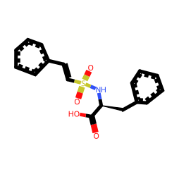 O=C(O)[C@H](Cc1ccccc1)NS(=O)(=O)C=Cc1ccccc1